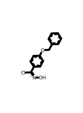 O/N=C(/Cl)c1ccc(OCc2ccccc2)cc1